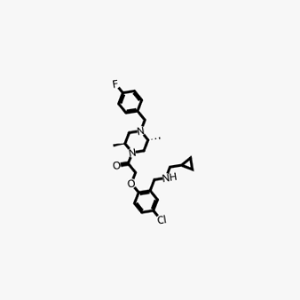 C[C@@H]1CN(C(=O)COc2ccc(Cl)cc2CNCC2CC2)[C@@H](C)CN1Cc1ccc(F)cc1